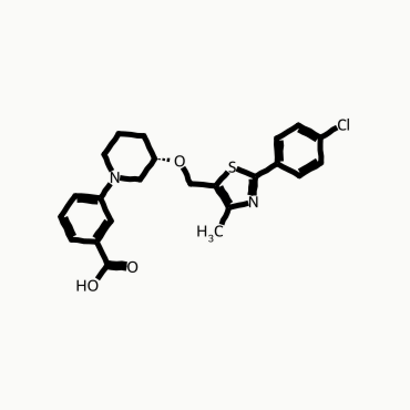 Cc1nc(-c2ccc(Cl)cc2)sc1CO[C@H]1CCCN(c2cccc(C(=O)O)c2)C1